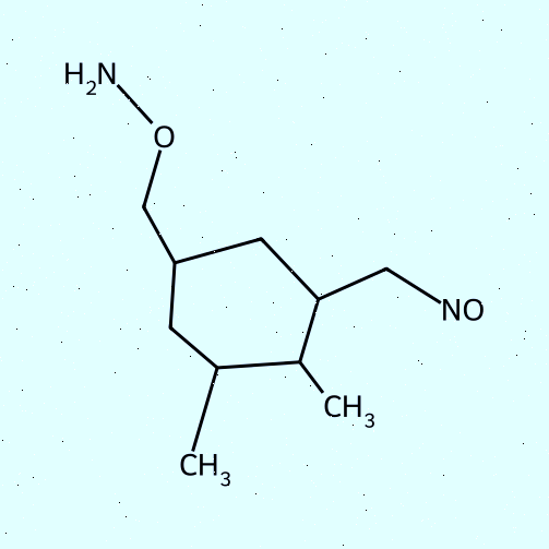 CC1CC(CON)CC(CN=O)C1C